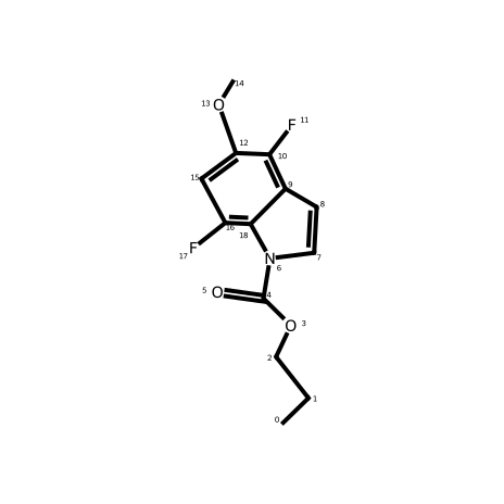 CCCOC(=O)n1ccc2c(F)c(OC)cc(F)c21